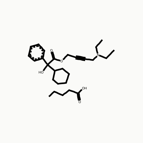 CCCCC(=O)O.CCN(CC)CC#CCOC(=O)C(O)(c1ccccc1)C1CCCCC1